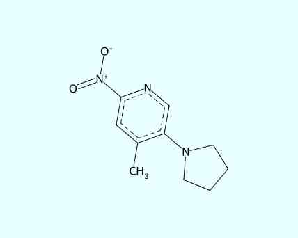 Cc1cc([N+](=O)[O-])ncc1N1CCCC1